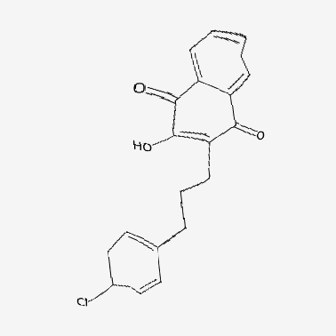 O=C1C(O)=C(CCCC2=CCC(Cl)C=C2)C(=O)c2ccccc21